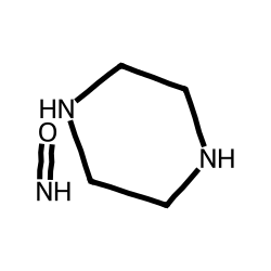 C1CNCCN1.N=O